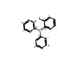 Cc1ccccc1[Se+](c1ccccc1)c1ccccc1